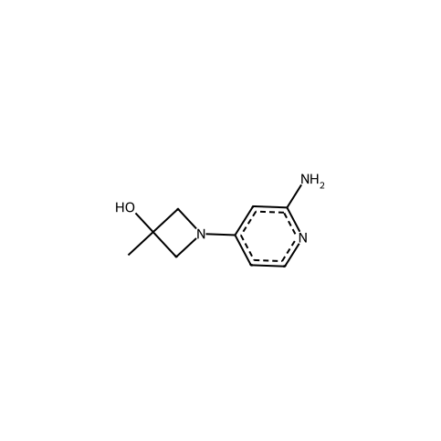 CC1(O)CN(c2ccnc(N)c2)C1